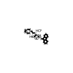 Cl.O=C(N[C@@H](CCCN1CCS(=O)(=O)CC1)C(=O)O)OCC1c2ccccc2-c2ccccc21